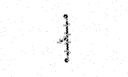 O=C(O)COCC(=O)N(CCNC(=O)CCCCCNC(=O)CCSSc1ccccn1)CCNC(=O)CCCCCNC(=O)CCSSc1ccccn1